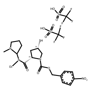 CCN(C(=O)[C@@H]1C[C@H](S)CN1C(=O)OCc1ccc([N+](=O)[O-])cc1)C1CCCN1C.O=S(=O)(O)C(F)(F)F.O=S(=O)(O)C(F)(F)F